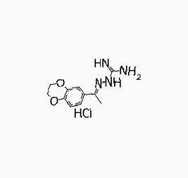 CC(=NNC(=N)N)c1ccc2c(c1)OCCO2.Cl